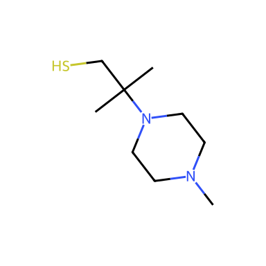 CN1CCN(C(C)(C)CS)CC1